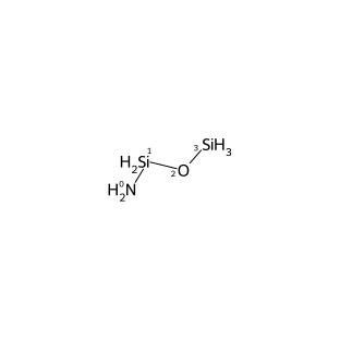 N[SiH2]O[SiH3]